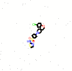 O=S(=O)(Nc1nccs1)c1ccc(N2CCC3(CCOc4ccc(Cl)cc43)CC2)cc1